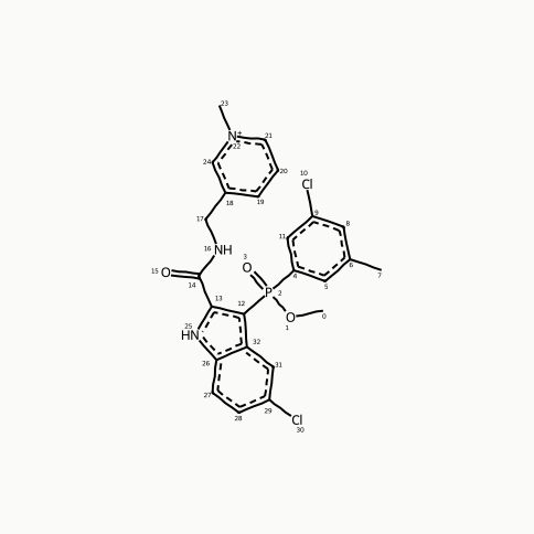 COP(=O)(c1cc(C)cc(Cl)c1)c1c(C(=O)NCc2ccc[n+](C)c2)[nH]c2ccc(Cl)cc12